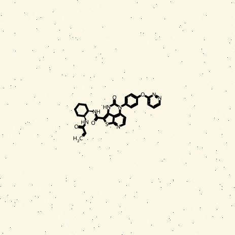 C=CC(=O)N[C@H]1CCCC[C@H]1NC(=O)c1sc2nccc3c2c1NC(=O)N3c1ccc(Oc2cccnn2)cc1